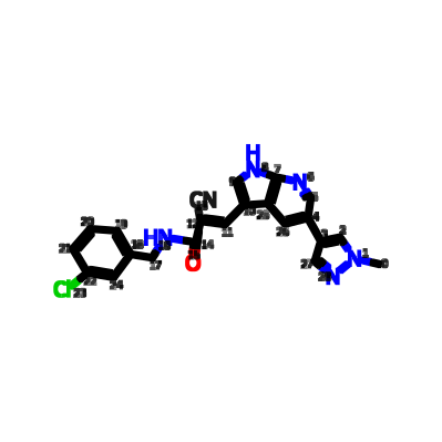 Cn1cc(-c2cnc3[nH]cc(/C=C(\C#N)C(=O)NCc4cccc(Cl)c4)c3c2)cn1